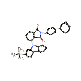 CC(C)(C)c1ccc2c3ccccc3n(-c3cccc4c3C(=O)N(c3ccc(-c5ccccc5)cc3)C4=O)c2c1